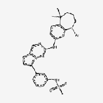 CC(=O)N1CCCC(C)(C)c2ccc(Nc3ncc4ccc(-c5cccc(NS(C)(=O)=O)c5)n4n3)cc21